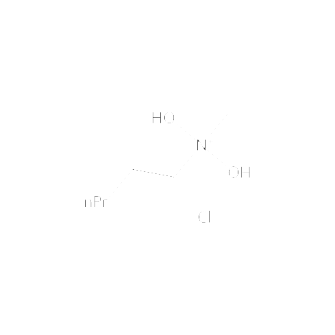 CCCCC[N+](C)(O)O.[Cl-]